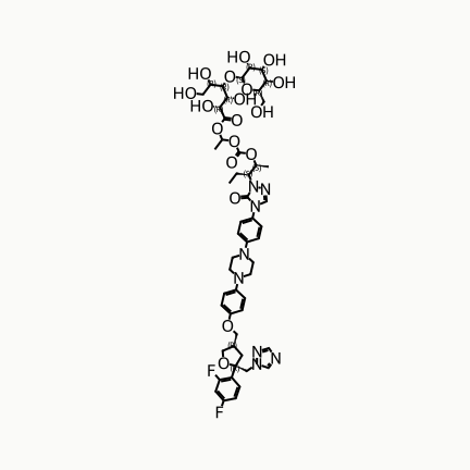 CC[C@@H]([C@H](C)OC(=O)OC(C)OC(=O)[C@H](O)[C@@H](O)[C@H](O[C@@H]1O[C@H](CO)[C@H](O)[C@H](O)[C@H]1O)[C@H](O)CO)n1ncn(-c2ccc(N3CCN(c4ccc(OC[C@@H]5CO[C@@](Cn6cncn6)(c6ccc(F)cc6F)C5)cc4)CC3)cc2)c1=O